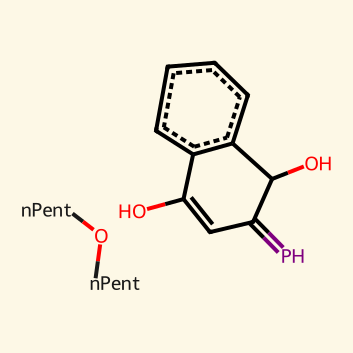 CCCCCOCCCCC.OC1=CC(=P)C(O)c2ccccc21